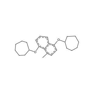 Cc1ccc(OC2CCCCCC2)c2cccc(OC3CCCCCC3)c12